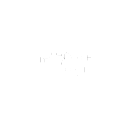 CCCON(CC(=O)O)CC(=O)O